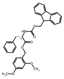 COc1ccc(COC(=O)[C@H](Cc2ccccc2)NC(=O)OCC2c3ccccc3-c3ccccc32)c(OC)c1